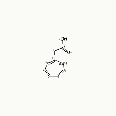 O=C(O)CC1=CC=CC=CB1